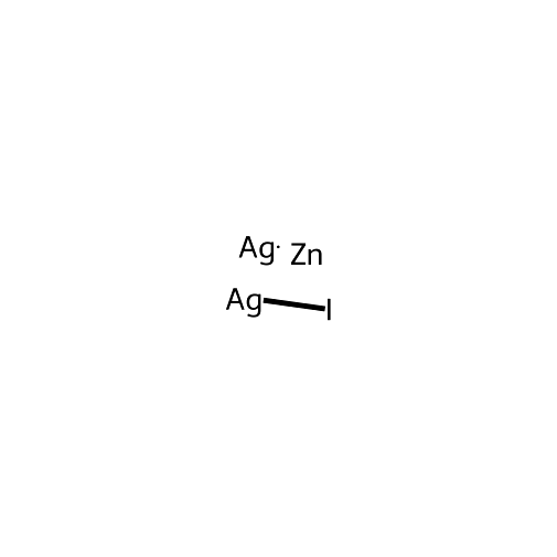 [Ag].[Ag][I].[Zn]